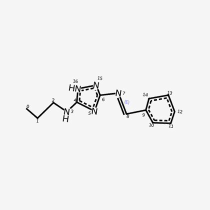 CCCNc1nc(/N=C/c2ccccc2)n[nH]1